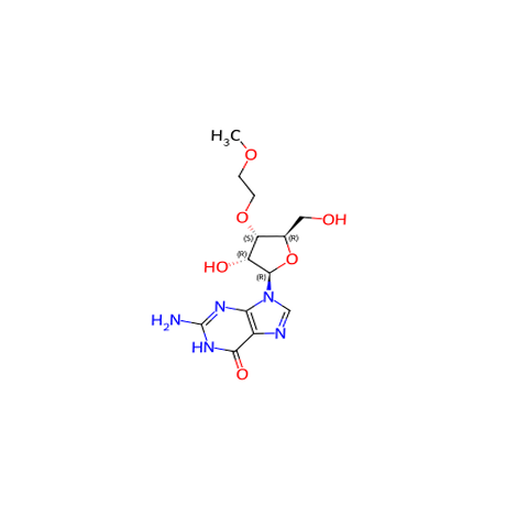 COCCO[C@H]1[C@@H](O)[C@H](n2cnc3c(=O)[nH]c(N)nc32)O[C@@H]1CO